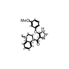 COc1cccc(Oc2[nH]nnc2C(=O)N2CCN(C)c3ccccc32)c1